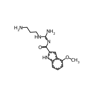 COc1cccc2[nH]c(C(=O)N=C(N)NCCCN)cc12